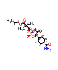 CCCOC(=O)C(C)(C)COS(=O)(=O)ON(C(N)=O)[C@H]1CC[C@H](C(N)=O)CC1